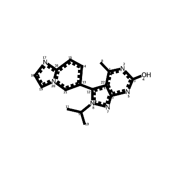 Cc1nc(O)nc2nn(C(C)C)c(-c3ccc4nccn4c3)c12